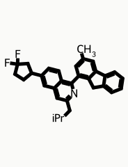 Cc1cc2c(c(-c3nc(CC(C)C)cc4cc(C5CCC(F)(F)C5)ccc34)c1)Cc1ccccc1-2